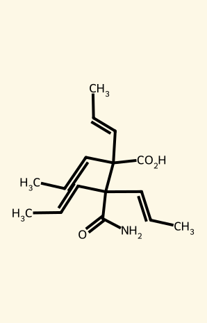 CC=CC(C=CC)(C(N)=O)C(C=CC)(C=CC)C(=O)O